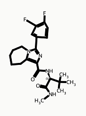 CNC(=O)[C@@H](NC(=O)c1nc(-c2ccc(F)c(F)c2)n2c1CCCCC2)C(C)(C)C